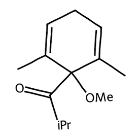 COC1(C(=O)C(C)C)C(C)=CCC=C1C